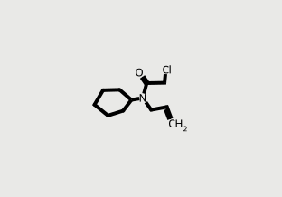 C=CCN(C(=O)CCl)C1CCCCC1